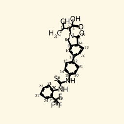 CC(C)[C@@H](C(=O)O)N1Cc2cc(-c3ccc(NC(=S)Nc4ccccc4C(F)(F)F)cc3)ccc2C1=O